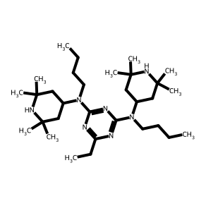 CCCCN(c1nc(CC)nc(N(CCCC)C2CC(C)(C)NC(C)(C)C2)n1)C1CC(C)(C)NC(C)(C)C1